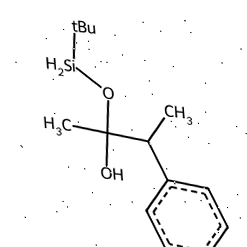 CC(c1ccccc1)C(C)(O)O[SiH2]C(C)(C)C